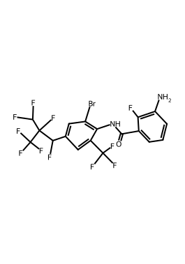 Nc1cccc(C(=O)Nc2c(Br)cc(C(F)C(F)(C(F)F)C(F)(F)F)cc2C(F)(F)F)c1F